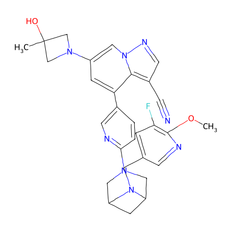 COc1ncc(CN2C3CC2CN(c2ccc(-c4cc(N5CC(C)(O)C5)cn5ncc(C#N)c45)cn2)C3)cc1F